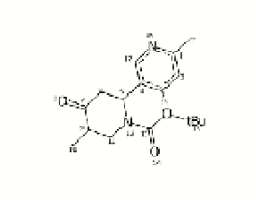 Cc1ccc(C2CC(=O)C(C)CN2C(=O)OC(C)(C)C)cn1